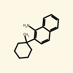 CC1(c2ccc3ccccc3c2N)CCCCC1